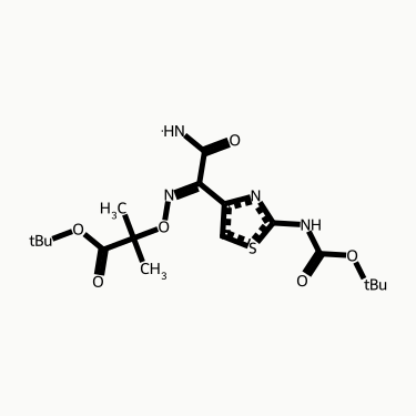 CC(C)(C)OC(=O)Nc1nc(/C(=N\OC(C)(C)C(=O)OC(C)(C)C)C([NH])=O)cs1